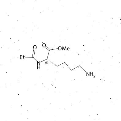 CCC(=O)N[C@@H](CCCCN)C(=O)OC